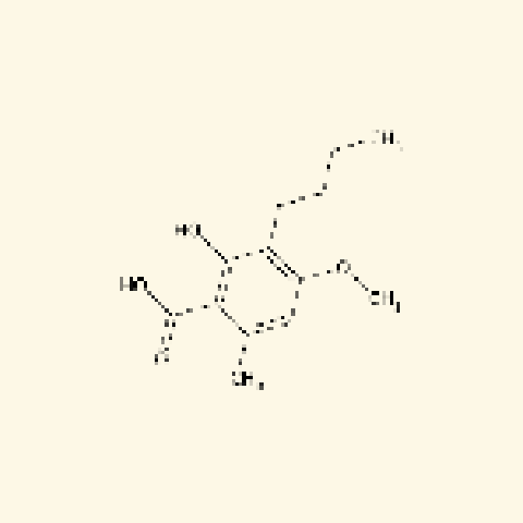 CCCCc1c(OC)cc(C)c(C(=O)O)c1O